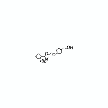 CC(C)(C)N1CC(COc2ccc(CCO)cc2)OC1c1ccccc1